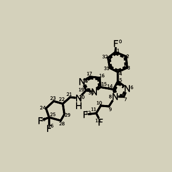 Fc1ccc(-c2ncn(CCC(F)F)c2-c2ccnc(NCC3CCC(F)(F)CC3)n2)cc1